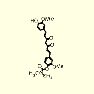 COc1cc(C=CC(=O)CC(=O)C=Cc2ccc(OC(=O)N(C)C)c(OC)c2)ccc1O